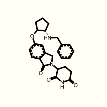 O=C1CCC(N2Cc3cc(OC4CCC[C@@H]4NCc4ccccc4)ccc3C2=O)C(=O)N1